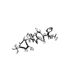 CC(C)(C)c1ccc(-c2nc3cc(C(N)=O)ccc3[nH]2)cc1